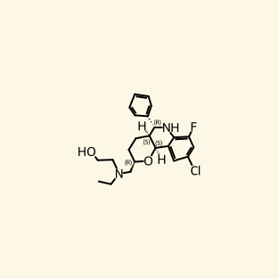 CCN(CCO)C[C@H]1CC[C@@H]2[C@H](O1)c1cc(Cl)cc(F)c1N[C@H]2c1ccccc1